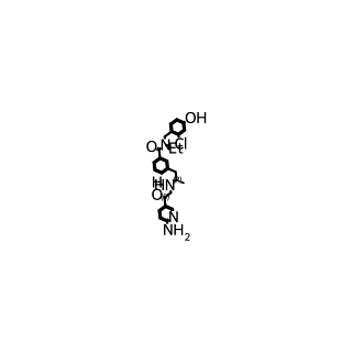 CCN(Cc1ccc(O)cc1Cl)C(=O)c1cccc(C[C@@H](C)NC[C@@H](O)c2ccc(N)nc2)c1